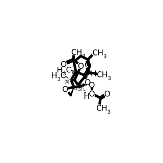 CC(=O)OO[C@@]1(C(C)=O)C(OC(C)=O)[C@]2(C)[C@@]3(C)CCC(C)=C[C@H]3O[C@H]1[C@@]21CO1